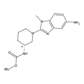 Cn1c(N2CCC[C@@H](NC(=O)OC(C)(C)C)C2)nc2cc(N)ccc21